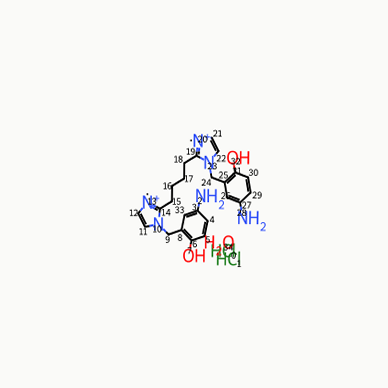 Cl.Cl.Nc1ccc(O)c(CN2C=C[N+]=C2CCCCC2=[N+]C=CN2Cc2cc(N)ccc2O)c1.O